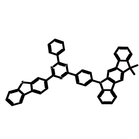 CC1(C)c2ccccc2-c2cc3c(cc21)c1ccccc1n3-c1ccc(-c2nc(-c3ccccc3)nc(-c3ccc4c(c3)sc3ccccc34)n2)cc1